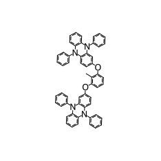 Cc1c(Oc2ccc3c(c2)N(c2ccccc2)c2ccccc2N3c2ccccc2)cccc1Oc1ccc2c(c1)N(c1ccccc1)c1ccccc1N2c1ccccc1